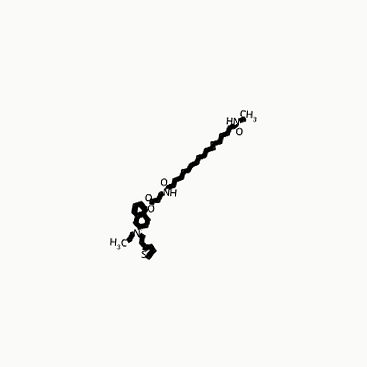 CCCN(CCc1cccs1)[C@H]1CCc2c(cccc2OC(=O)CCNC(=O)CCCCCCCCCCCCCCCCC(=O)NCC)C1